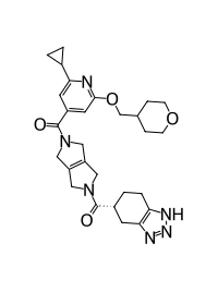 O=C(c1cc(OCC2CCOCC2)nc(C2CC2)c1)N1CC2=C(C1)CN(C(=O)[C@@H]1CCc3[nH]nnc3C1)C2